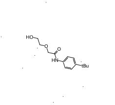 CC(C)(C)c1ccc(NC(=O)COCCO)cc1